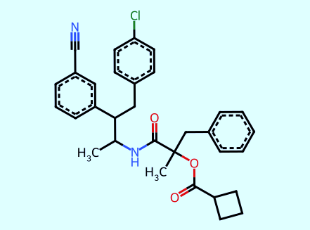 CC(NC(=O)C(C)(Cc1ccccc1)OC(=O)C1CCC1)C(Cc1ccc(Cl)cc1)c1cccc(C#N)c1